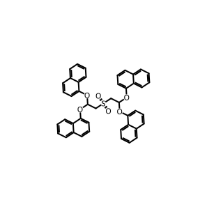 O=S(=O)(CC(Oc1cccc2ccccc12)Oc1cccc2ccccc12)CC(Oc1cccc2ccccc12)Oc1cccc2ccccc12